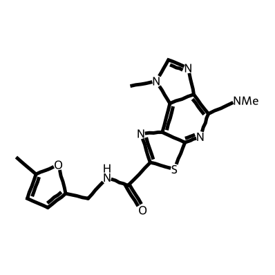 CNc1nc2sc(C(=O)NCc3ccc(C)o3)nc2c2c1ncn2C